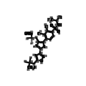 CCC(NS(=O)(=O)c1ccc(-c2sc(-c3noc(CC(C)(C)C(=O)O)n3)nc2CC(C)(C)OC)c(Cl)c1Cl)C(F)(F)F